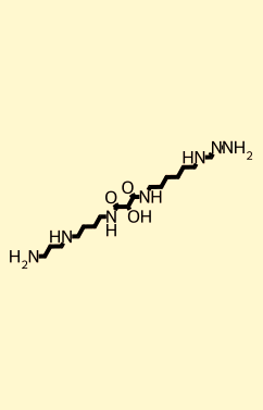 NCCCNCCCCNC(=O)C(O)C(=O)NCCCCCCNC=NN